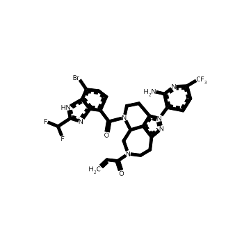 C=CC(=O)N1CCc2nn(-c3ccc(C(F)(F)F)nc3N)c3c2C(C1)N(C(=O)c1ccc(Br)c2[nH]c(C(F)F)nc12)CC3